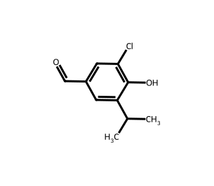 CC(C)c1cc(C=O)cc(Cl)c1O